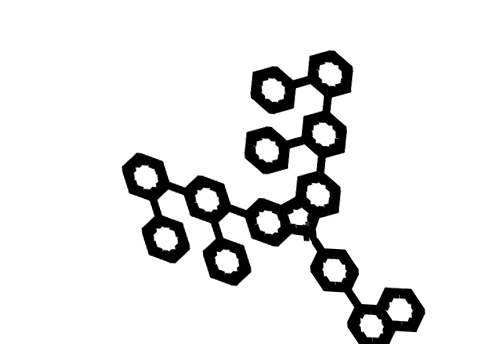 c1ccc(-c2ccccc2-c2ccc(-c3ccc4c(c3)c3cc(-c5ccc(-c6ccccc6-c6ccccc6)cc5-c5ccccc5)ccc3n4-c3ccc(-c4cccc5ccccc45)cc3)c(-c3ccccc3)c2)cc1